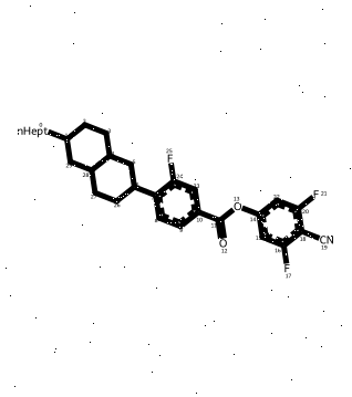 CCCCCCCC1CCC2CC(c3ccc(C(=O)Oc4cc(F)c(C#N)c(F)c4)cc3F)CCC2C1